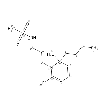 COCCC1(C)[C]=CC=C(F)N1CCCNS(C)(=O)=O